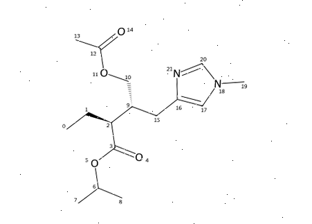 CC[C@H](C(=O)OC(C)C)[C@H](COC(C)=O)Cc1cn(C)cn1